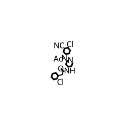 CC(=O)N(c1ccc(Cl)c(C#N)c1)c1cc(NC(=O)Cc2ccccc2Cl)ccn1